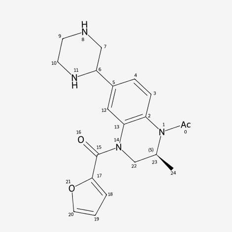 CC(=O)N1c2ccc(C3CNCCN3)cc2N(C(=O)c2ccco2)C[C@@H]1C